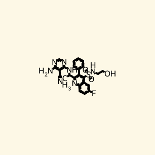 CC(Nc1ncnc(N)c1C#N)c1nc2ccc(F)cc2c(S(=O)(=O)NCCO)c1-c1ccccc1